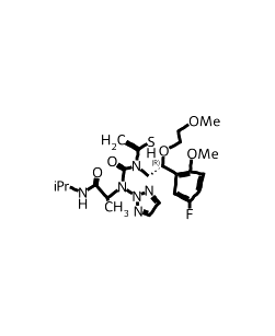 C=C(S)N(C[C@H](OCCOC)c1cc(F)ccc1OC)C(=O)N(C(C)C(=O)NC(C)C)n1nccn1